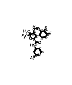 CC(=O)c1cc(NC(=O)[C@H]2O[C@@](C)(C(F)(F)F)[C@@H](C)[C@@H]2c2ccc(F)c(F)c2O)ccn1